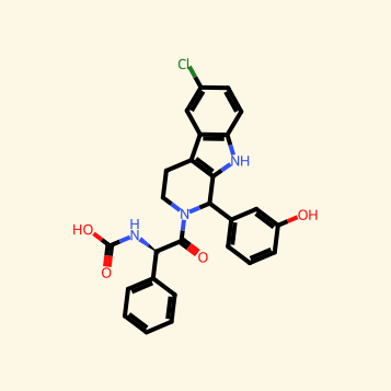 O=C(O)N[C@@H](C(=O)N1CCc2c([nH]c3ccc(Cl)cc23)C1c1cccc(O)c1)c1ccccc1